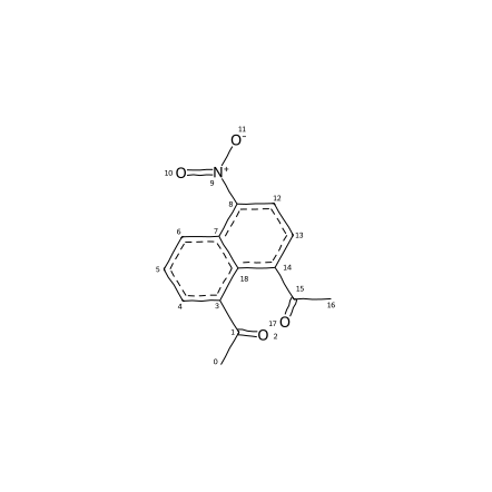 CC(=O)c1cccc2c([N+](=O)[O-])ccc(C(C)=O)c12